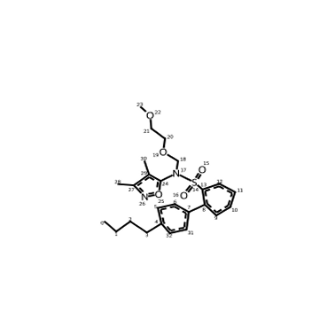 CCCCc1ccc(-c2ccccc2S(=O)(=O)N(COCCOC)c2onc(C)c2C)cc1